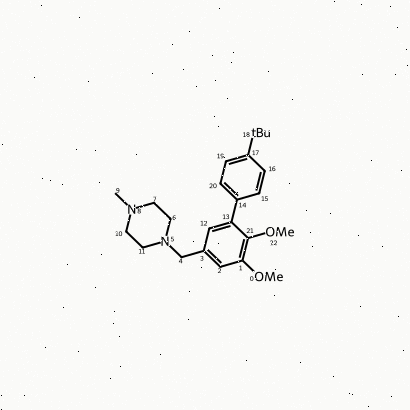 COc1cc(CN2CCN(C)CC2)cc(-c2ccc(C(C)(C)C)cc2)c1OC